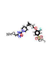 COCc1noc(N2CCC([C@@H]3C[C@@H]3CCOc3ccc(S(C)(=O)=O)cc3F)CC2)n1